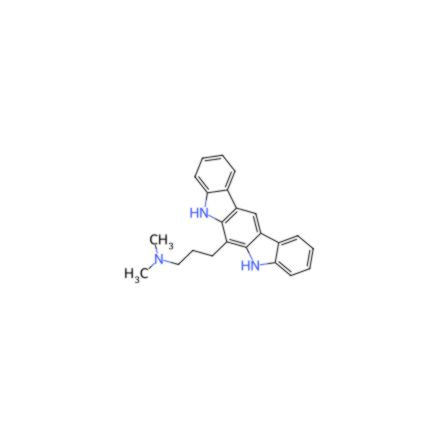 CN(C)CCCc1c2[nH]c3ccccc3c2cc2c1[nH]c1ccccc12